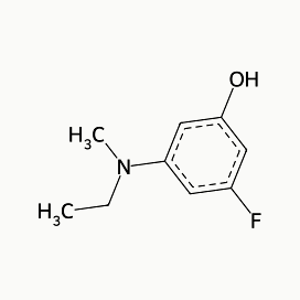 CCN(C)c1cc(O)cc(F)c1